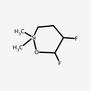 C[Si]1(C)CCC(F)C(F)O1